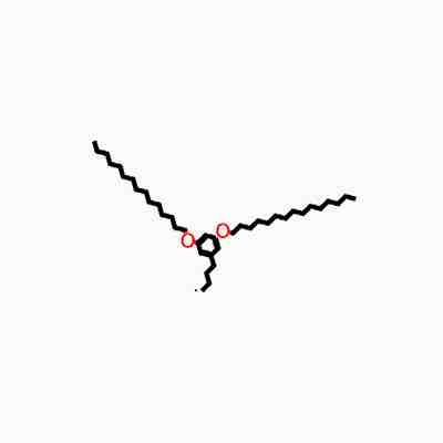 [CH2]CCCc1cc(OCCCCCCCCCCCCCCC)cc(OCCCCCCCCCCCCCCC)c1